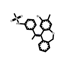 C/C(=C1\c2ccccc2COc2cc(C)c(Br)cc21)c1cccc(NS(C)(=O)=O)c1